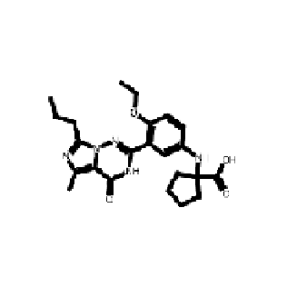 CCCc1nc(C)c2c(=O)[nH]c(-c3cc(NC4(C(=O)O)CCCC4)ccc3OCC)nn12